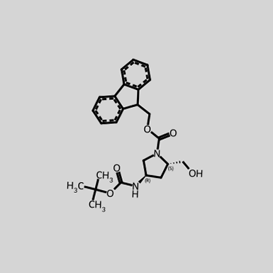 CC(C)(C)OC(=O)N[C@@H]1C[C@@H](CO)N(C(=O)OCC2c3ccccc3-c3ccccc32)C1